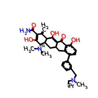 C=C1C(C(N)=O)=C(O)[C@@H](N(C)C)C2CC3Cc4c(-c5cccc(CN(C)CC(C)C)c5)ccc(O)c4C(=O)C3=C(O)C12